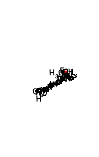 C[C@@H]1Cc2c([nH]c3ccccc23)[C@@H](c2cnc(N3CCC4(CC3)CC4CN3CCN(c4ccc5c(c4)CN(C4CCC(=O)NC4=O)C5=O)CC3)cn2)N1CC(C)(C)F